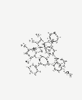 CC1=C(C)C(C)([Si](c2cc(C)cc(C)c2)(c2cc(-c3ccccc3)cc(-c3ccccc3)c2)c2cc(-c3ccccc3)cc(-c3ccccc3)c2)[C]([Ti+3])=C1C.[Cl-].[Cl-].[Cl-]